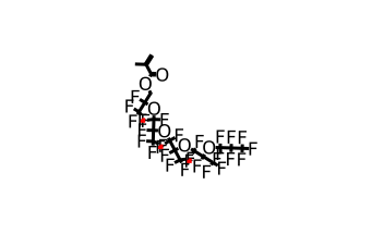 C=C(C)C(=O)OCC(F)(OC(F)(F)C(F)(OC(F)(F)C(F)(OC(F)(F)C(F)(OC(F)(F)C(F)(F)C(F)(F)F)C(F)(F)F)C(F)(F)F)C(F)(F)F)C(F)(F)F